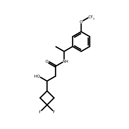 CC(NC(=O)CC(O)C1CC(F)(F)C1)c1cccc(OC(F)(F)F)c1